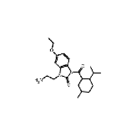 CCOc1ccc2c(c1)n(CCN)c(=O)n2C(=O)C1CC(C)CCC1C(C)C